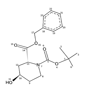 CC(C)(C)OC(=O)N1CC[C@@H](O)C[C@@H]1C(=O)OCc1ccccc1